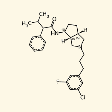 CC(C)C(C(=O)N[C@H]1CC[C@@H]2CN(CCCc3cc(F)cc(Cl)c3)C[C@@H]21)c1ccccc1